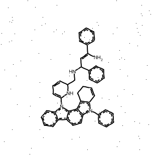 N/C(=C\C(NCC1C=CC=C(n2c3ccccc3c3ccc4c(c5c(n4-c4ccccc4)C=CCC5)c32)N1)c1ccccc1)c1ccccc1